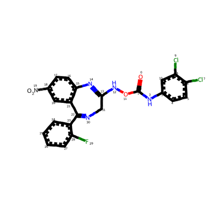 O=C(Nc1ccc(Cl)c(Cl)c1)ONC1=Nc2ccc([N+](=O)[O-])cc2C(c2ccccc2F)=NC1